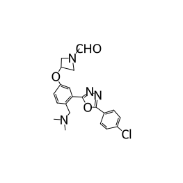 CN(C)Cc1ccc(OC2CN(C=O)C2)cc1-c1nnc(-c2ccc(Cl)cc2)o1